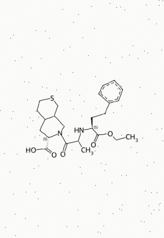 CCOC(=O)[C@H](CCc1ccccc1)NC(C)C(=O)N1CC2CSCCC2C[C@H]1C(=O)O